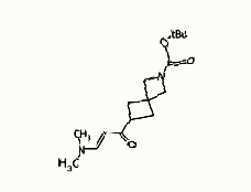 CN(C)C=CC(=O)C1CC2(C1)CN(C(=O)OC(C)(C)C)C2